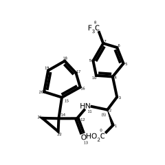 O=C(O)C[C@H](Cc1ccc(C(F)(F)F)cc1)NC(=O)C1(c2ccccc2)CC1